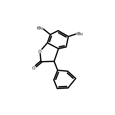 CC(C)(C)c1cc2c(c(C(C)(C)C)c1)OC(=O)C2c1ccccc1